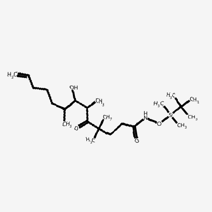 C=CCCCC(C)C(O)C(C)C(=O)C(C)(C)CCC(=O)NO[Si](C)(C)C(C)(C)C